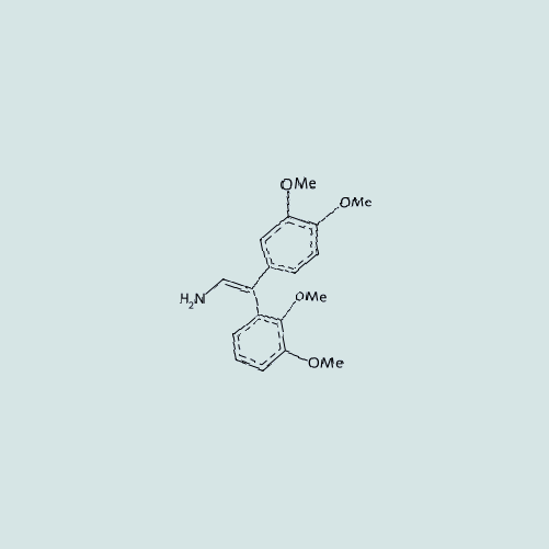 COc1ccc(C(=CN)c2cccc(OC)c2OC)cc1OC